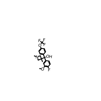 COc1cc([C@@](O)(c2ccc(OC(F)(F)F)cc2)C2(C)CN(C)C2)ccc1F